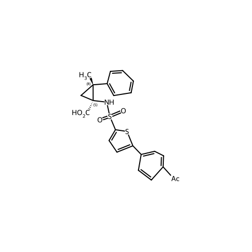 CC(=O)c1ccc(-c2ccc(S(=O)(=O)N[C@@]3(C(=O)O)C[C@]3(C)c3ccccc3)s2)cc1